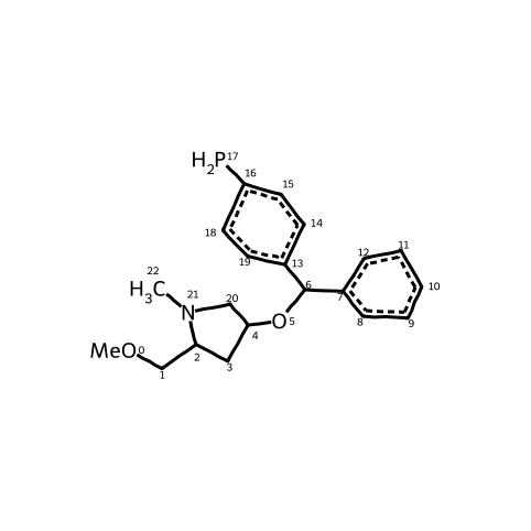 COCC1CC(OC(c2ccccc2)c2ccc(P)cc2)CN1C